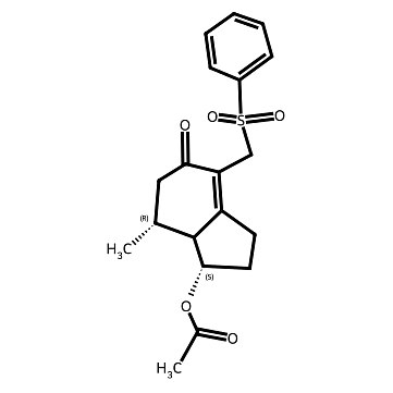 CC(=O)O[C@H]1CCC2=C(CS(=O)(=O)c3ccccc3)C(=O)C[C@@H](C)C21